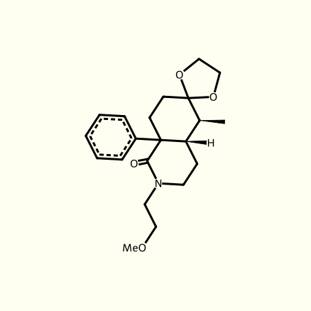 COCCN1CC[C@H]2[C@H](C)C3(CCC2(c2ccccc2)C1=O)OCCO3